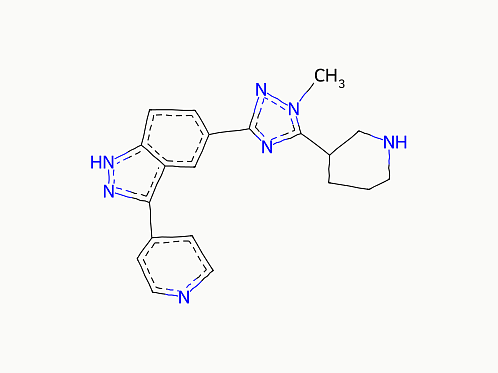 Cn1nc(-c2ccc3[nH]nc(-c4ccncc4)c3c2)nc1C1CCCNC1